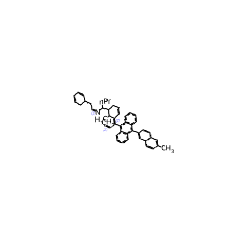 C/C=C\C(=C1\C=CCC(C(CCC)/N=C\CC2C=CC=CC2)C1C)c1c2ccccc2c(C2=CC3C=CC(C)=CC3C=C2)c2ccccc12